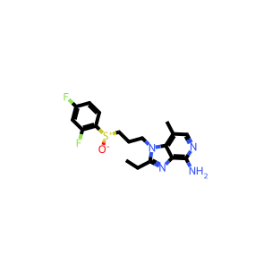 CCc1nc2c(N)ncc(C)c2n1CCC[S+]([O-])c1ccc(F)cc1F